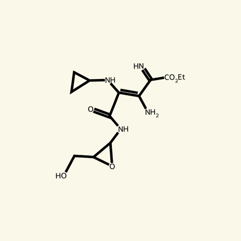 CCOC(=O)C(=N)/C(N)=C(\NC1CC1)C(=O)NC1OC1CO